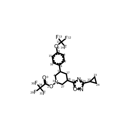 O=C(ON1CC(c2ccc(OC(F)(F)F)cc2)CC(c2nc(C3CC3)no2)C1)C(F)(F)F